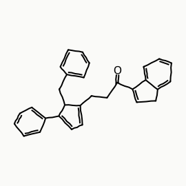 O=C(CCC1=CC=C(c2ccccc2)C1Cc1ccccc1)C1=CCc2ccccc21